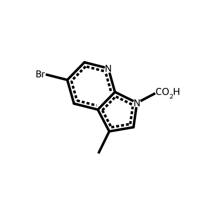 Cc1cn(C(=O)O)c2ncc(Br)cc12